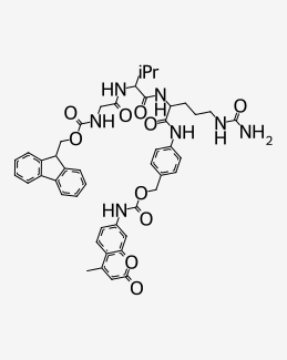 Cc1cc(=O)oc2cc(NC(=O)OCc3ccc(NC(=O)C(CCCNC(N)=O)NC(=O)C(NC(=O)CNC(=O)OCC4c5ccccc5-c5ccccc54)C(C)C)cc3)ccc12